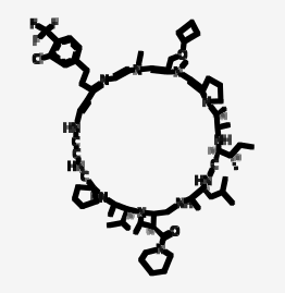 CC[C@H](C)[C@H]1CN[C@@H](CC(C)C)C(C)NCC2[C@@H](C(=O)N3CCCCC3)C(C)N2[C@@H](C(C)C)C(C)NC2(CCCC2)CNCCNC=CC(CCc2ccc(C(F)(F)F)c(Cl)c2)=NC=CN(C)C=C(COC2CCC2)N(C)C=C2CCCN2[C@@H](C)C(C)N1